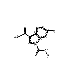 COC(=O)c1cn(C(=O)OC(C)(C)C)c2cc(Br)ccc12